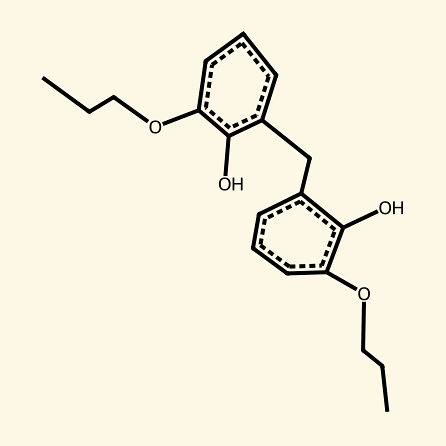 CCCOc1cccc(Cc2cccc(OCCC)c2O)c1O